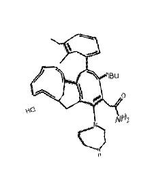 CCCCc1c(C(N)=O)c(N2CCNCC2)c2c(c1-c1cccc(C)c1C)-c1ccccc1C2.Cl